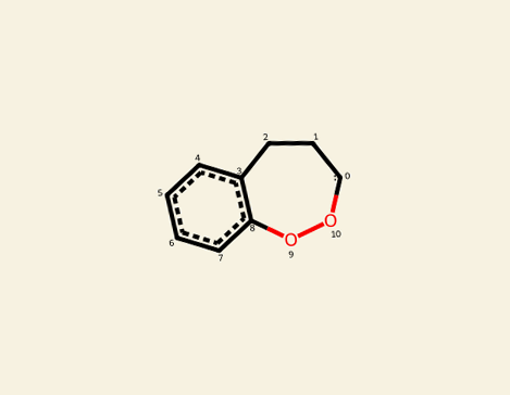 [C]1CCc2ccccc2OO1